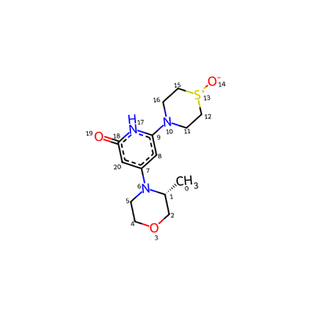 C[C@@H]1COCCN1c1cc(N2CC[S+]([O-])CC2)[nH]c(=O)c1